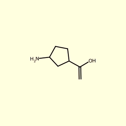 C=C(O)C1CCC(N)C1